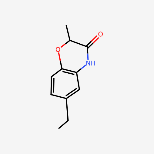 CCc1ccc2c(c1)NC(=O)C(C)O2